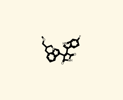 COCC1Cc2cccc3c(C4=C(c5c[nH]c6cc(F)ccc56)C(=O)NC4=O)cn(c23)C1